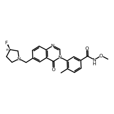 CONC(=O)c1ccc(C)c(-n2cnc3ccc(CN4CC[C@@H](F)C4)cc3c2=O)c1